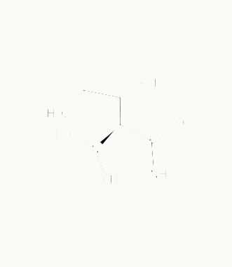 CC[C@H](C)[C@@H](C(N)=O)N(C)C